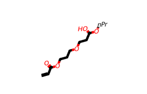 C=CC(=O)OCCCOCCC(O)OCCC